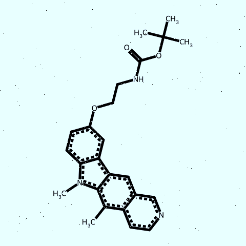 Cc1c2ccncc2cc2c3cc(OCCNC(=O)OC(C)(C)C)ccc3n(C)c12